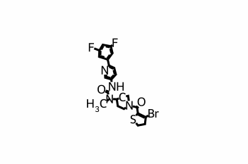 CN(C(=O)Nc1ccc(-c2cc(F)cc(F)c2)nc1)C1CCN(C(=O)C2=C(Br)CCS2)CC1